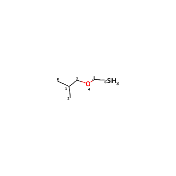 CC(C)CO[CH][SiH3]